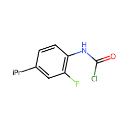 CC(C)c1ccc(NC(=O)Cl)c(F)c1